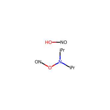 CC(C)N(ON=O)C(C)C.O=NO